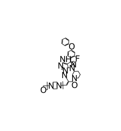 CC(C)(C=C(C#N)C(=O)N1CCCC(n2nc(-c3ccc(Oc4ccccc4)cc3F)c3c(N)ncnc32)C1)N1CCN(C2(C)COC2)CC1